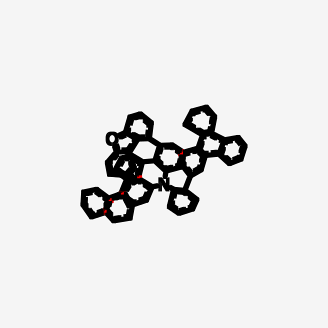 c1ccc(-c2ccc(N(c3ccccc3-c3ccc4c5ccccc5c5ccccc5c4c3)c3cccc(-c4cccc5oc6ccccc6c45)c3-c3cccc(-c4ccccc4)c3)cc2)cc1